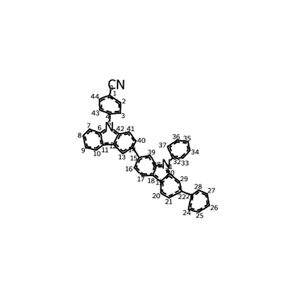 N#Cc1ccc(-n2c3ccccc3c3cc(-c4ccc5c6ccc(-c7ccccc7)cc6n(-c6ccccc6)c5c4)ccc32)cc1